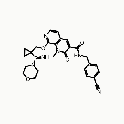 Cn1c(=O)c(C(=O)NCc2ccc(C#N)cc2)cc2ccnc(OCC3(S(=N)N4CCOCC4)CC3)c21